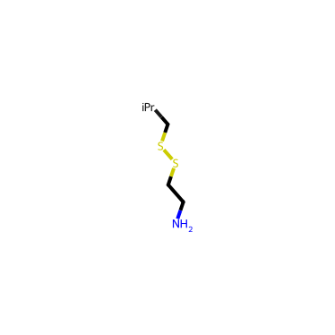 CC(C)CSSCCN